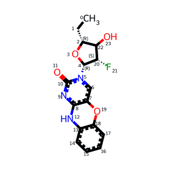 CC[C@H]1O[C@@H](n2cc3c(nc2=O)Nc2ccccc2O3)[C@@H](F)C1O